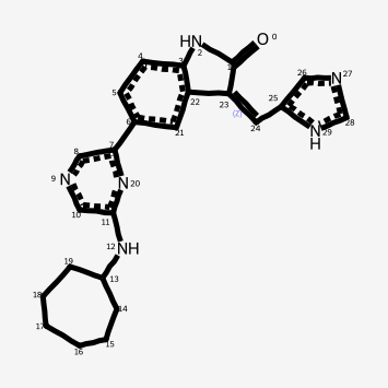 O=C1Nc2ccc(-c3cncc(NC4CCCCCC4)n3)cc2/C1=C/c1cnc[nH]1